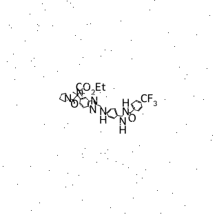 CCOC(=O)N(C)[C@@](C)(C(=O)N1CCCC1)c1ccc2c(c1)nc(CNc1ccc(C(=N)NC(=O)c3ccc(C(F)(F)F)cc3)cc1)n2C